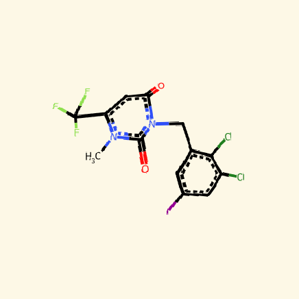 Cn1c(C(F)(F)F)cc(=O)n(Cc2cc(I)cc(Cl)c2Cl)c1=O